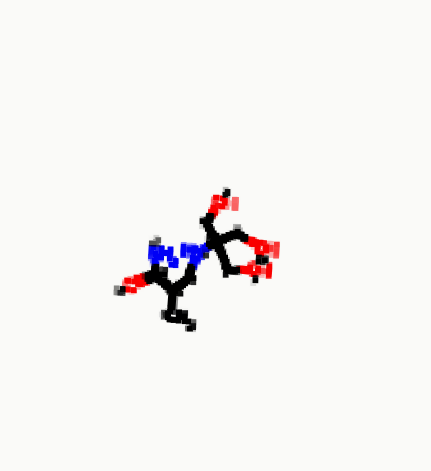 CC(CNC(CO)(CO)CO)C(N)=O